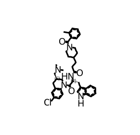 Cc1ccccc1C(=O)N1CCC(CCC(=O)N[C@H](Cc2c[nH]c3ccccc23)C(=O)N2C[C@H](CN(C)C)Cc3cc(Cl)ccc32)CC1